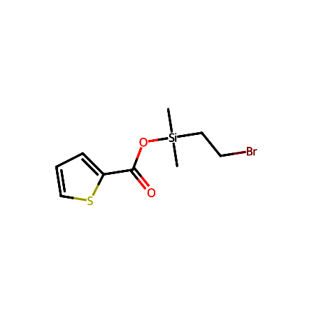 C[Si](C)(CCBr)OC(=O)c1cccs1